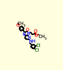 CCOC(=O)CCn1c(=O)c(-c2ccc(OC)cc2)nc2ccc(NCc3ccc(Cl)c(Cl)c3)nc21